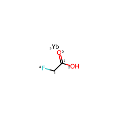 O=C(O)CF.[Yb]